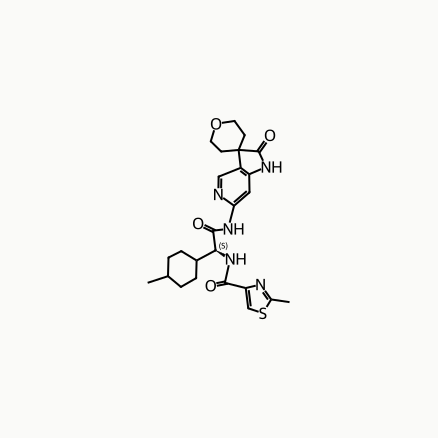 Cc1nc(C(=O)N[C@H](C(=O)Nc2cc3c(cn2)C2(CCOCC2)C(=O)N3)C2CCC(C)CC2)cs1